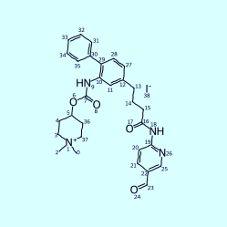 C[N+]1(C)CCC(OC(=O)Nc2cc(CCCC(=O)Nc3ccc(C=O)cn3)ccc2-c2ccccc2)CC1.[I-]